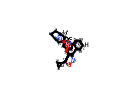 O=C(O)c1cccc(N2C3CC[C@H]2CC(OCc2c(-c4ccccc4OC(F)(F)F)noc2C2CC2)C3)n1